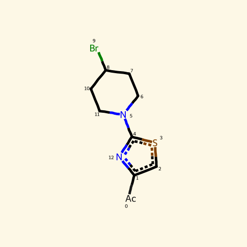 CC(=O)c1csc(N2CCC(Br)CC2)n1